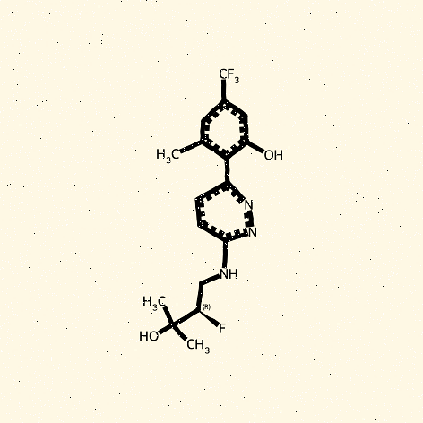 Cc1cc(C(F)(F)F)cc(O)c1-c1ccc(NC[C@@H](F)C(C)(C)O)nn1